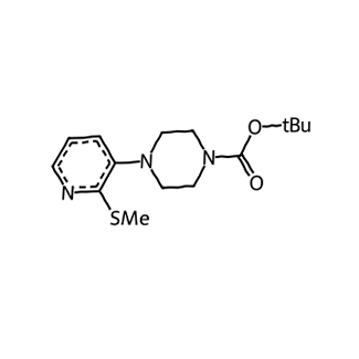 CSc1ncccc1N1CCN(C(=O)OC(C)(C)C)CC1